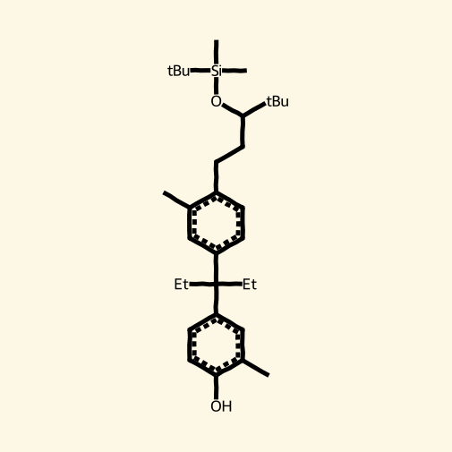 CCC(CC)(c1ccc(O)c(C)c1)c1ccc(CCC(O[Si](C)(C)C(C)(C)C)C(C)(C)C)c(C)c1